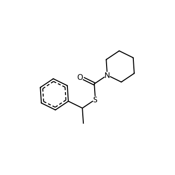 CC(SC(=O)N1CCCCC1)c1ccccc1